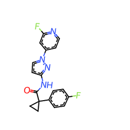 O=C(Nc1ccn(-c2ccnc(F)c2)n1)C1(c2ccc(F)cc2)CC1